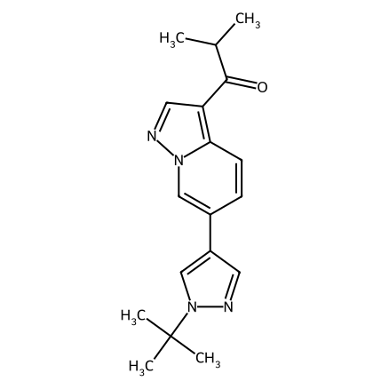 CC(C)C(=O)c1cnn2cc(-c3cnn(C(C)(C)C)c3)ccc12